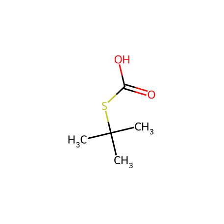 CC(C)(C)SC(=O)O